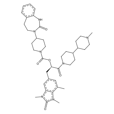 Cc1cc(C[C@@H](OC(=O)N2CCC(N3CCc4ccccc4NC3=O)CC2)C(=O)N2CCC(C3CCN(C)CC3)CC2)cc2c1n(C)c(=O)n2C